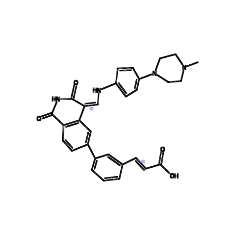 CN1CCN(c2ccc(N/C=C3\C(=O)NC(=O)c4ccc(-c5cccc(/C=C/C(=O)O)c5)cc43)cc2)CC1